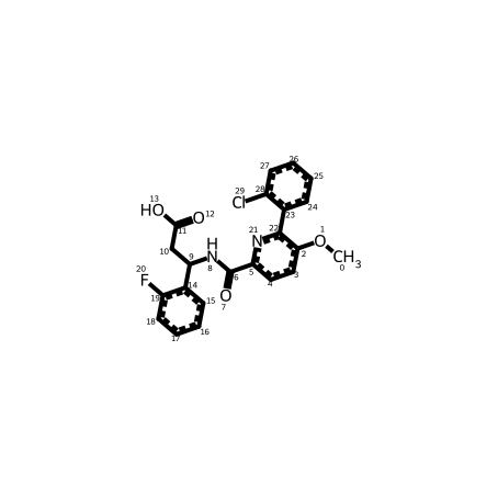 COc1ccc(C(=O)NC(CC(=O)O)c2ccccc2F)nc1-c1ccccc1Cl